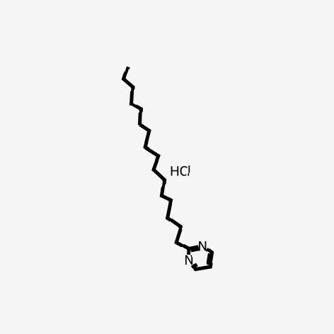 CCCCCCCCCCCCCCCCc1ncccn1.Cl